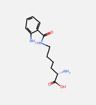 Nc1ccccc1C(=O)NCCCC[C@H](N)C(=O)O